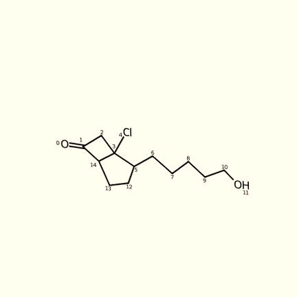 O=C1CC2(Cl)C(CCCCCO)CCC12